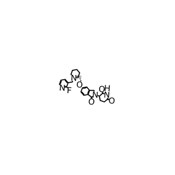 O=C1CCC(N2Cc3cc(OC[C@H]4CCCCN4Cc4cccnc4F)ccc3C2=O)C(=O)N1